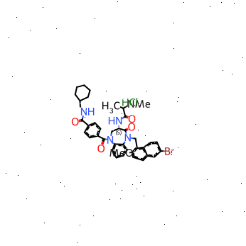 CNC(C)C(=O)N[C@H]1CN(C(=O)c2ccc(C(=O)NCC3CCCCC3)cc2)c2ccccc2N(Cc2c(OC)ccc3cc(Br)ccc23)C1=O.Cl